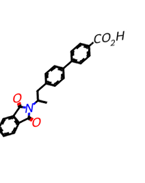 CC(Cc1ccc(-c2ccc(C(=O)O)cc2)cc1)N1C(=O)c2ccccc2C1=O